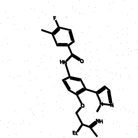 CCC(COc1ccc(NC(=O)c2ccc(F)c(C)c2)cc1-c1ccnn1C)C(C)=N